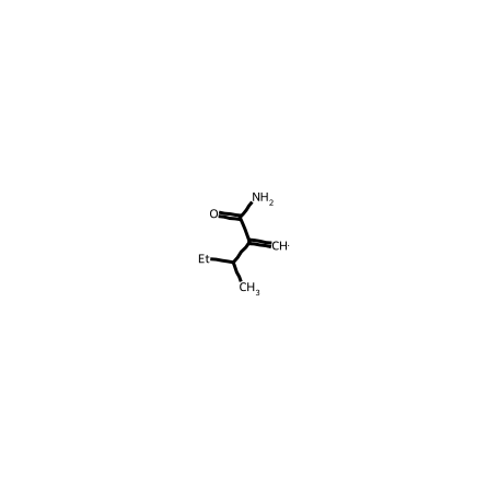 [CH]=C(C(N)=O)C(C)CC